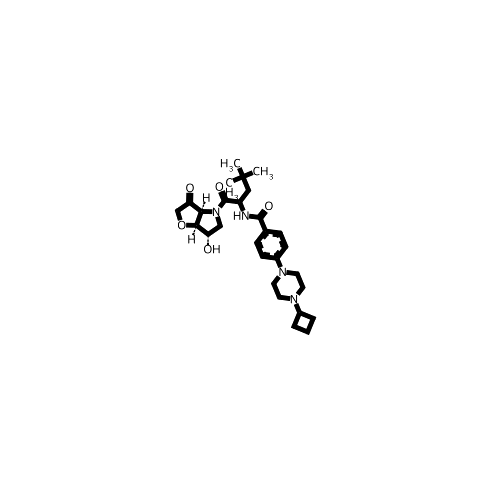 CC(C)(C)CC(NC(=O)c1ccc(N2CCN(C3CCC3)CC2)cc1)C(=O)N1C[C@H](O)[C@H]2OCC(=O)[C@H]21